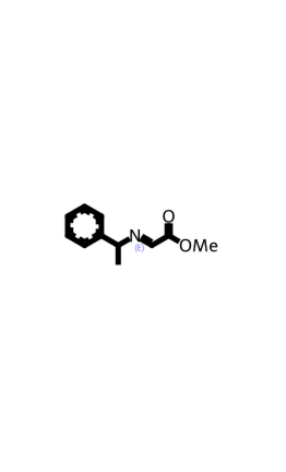 COC(=O)/C=N/C(C)c1ccccc1